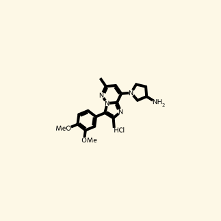 COc1ccc(-c2c(C)nc3c(N4CCC(N)C4)cc(C)nn23)cc1OC.Cl